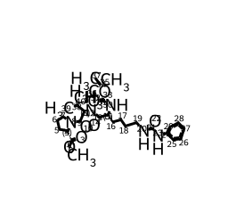 COC(=O)[C@@H]1CCCN1C(=O)[C@@H](NC(=O)[C@H](CCCCNC(=O)Nc1ccccc1)NC(=O)OC(C)(C)C)C(C)C